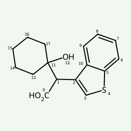 O=C(O)C(c1csc2ccccc12)C1(O)CCCCC1